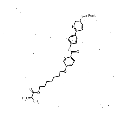 C=C(C)C(=O)OCCCCCCCOc1ccc(C(=O)Oc2ccc(-c3ccc(OCCCCC)cn3)cc2)cc1